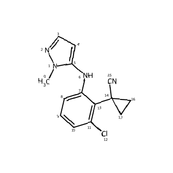 Cn1nccc1Nc1cccc(Cl)c1C1(C#N)CC1